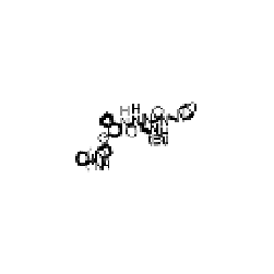 C[C@@H]1CCC[C@H](C)N1c1nnc2ccc(O[C@@H]3CC[C@H](NC(=O)Nc4cc(C(C)(C)C)nc(C(=O)NCCN5CCOCC5)n4)c4ccccc43)cn12